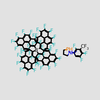 Fc1c(F)c2c(F)c(F)c3c(F)c(F)c([B-](c4c(F)c(F)c5c(F)c(F)c6c(F)c(F)c(F)c7c(F)c(F)c4c5c67)(c4c(F)c(F)c5c(F)c(F)c6c(F)c(F)c(F)c7c(F)c(F)c4c5c67)c4c(F)c(F)c5c(F)c(F)c6c(F)c(F)c(F)c7c(F)c(F)c4c5c67)c4c(F)c(F)c(c1F)c2c34.Fc1cc([NH+]2CCCP2)c(F)c(C(F)(F)F)c1F